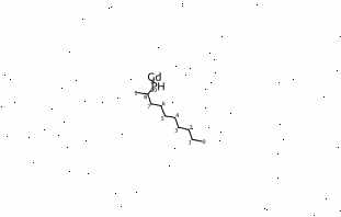 CCCCCCCCC(C)[PH][Gd]